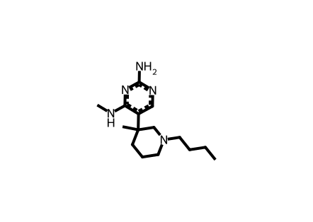 CCCCN1CCCC(C)(c2cnc(N)nc2NC)C1